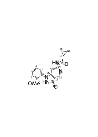 COc1ccccc1-n1[nH]c(=O)c2cnc(NC(=O)C3CC3)cc21